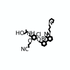 CC(CO)NCc1cc(Cl)c(OCc2cccc(-c3cccc4c3cnn4CCCCN3CCCC3)c2Br)cc1OCCCC#N